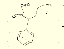 COC(=O)C(CCN)c1ccccc1